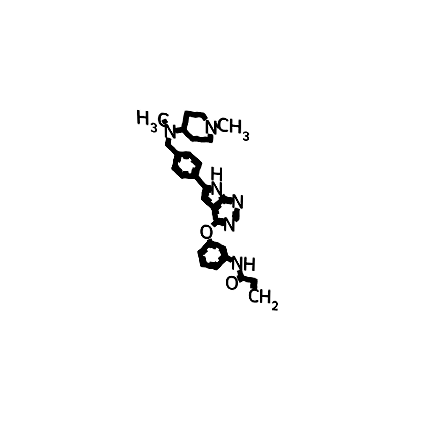 C=CC(=O)Nc1cccc(Oc2ncnc3[nH]c(-c4ccc(CN(C)C5CCN(C)CC5)cc4)cc23)c1